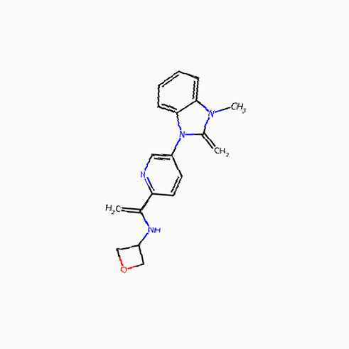 C=C(NC1COC1)c1ccc(N2C(=C)N(C)c3ccccc32)cn1